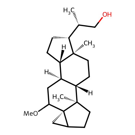 COC1C[C@H]2[C@@H]3CC[C@H]([C@H](C)CO)[C@@]3(C)CC[C@@H]2[C@@]2(C)CCC3C[C@]312